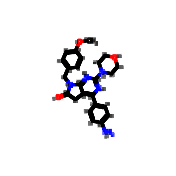 COc1ccc(CN2C(=O)Cc3c(-c4ccc(N)cc4)nc(N4CCOCC4)nc32)cc1